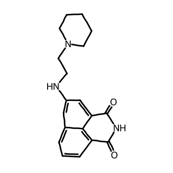 O=C1NC(=O)c2cc(NCCN3CCCCC3)cc3cccc1c23